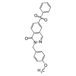 COc1ccc(Cn2ncc3cc(S(=O)(=O)c4ccccc4)ccc3c2=O)cc1